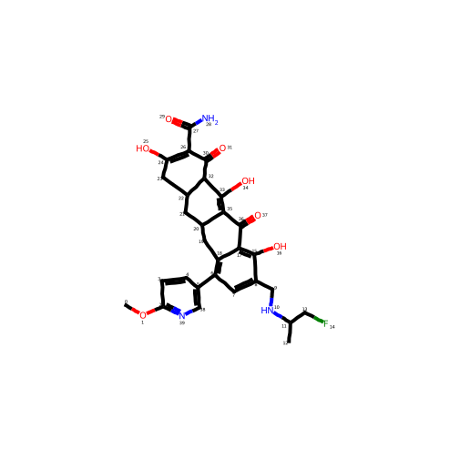 COc1ccc(-c2cc(CNC(C)CF)c(O)c3c2CC2CC4CC(O)=C(C(N)=O)C(=O)C4C(O)=C2C3=O)cn1